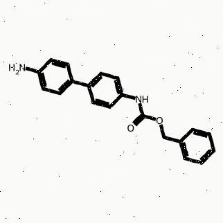 Nc1ccc(-c2ccc(NC(=O)OCc3ccccc3)cc2)cc1